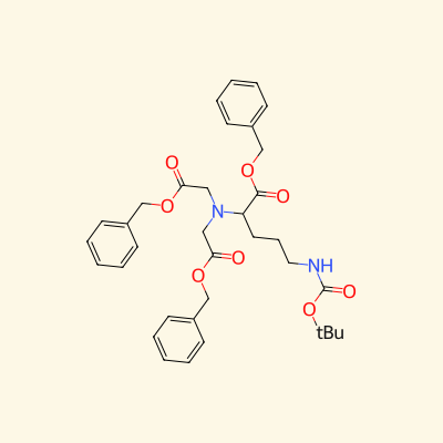 CC(C)(C)OC(=O)NCCCC(C(=O)OCc1ccccc1)N(CC(=O)OCc1ccccc1)CC(=O)OCc1ccccc1